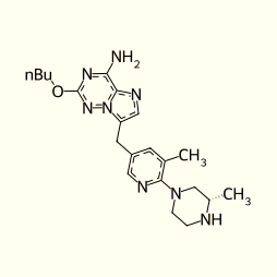 CCCCOc1nc(N)c2ncc(Cc3cnc(N4CCN[C@@H](C)C4)c(C)c3)n2n1